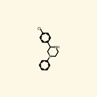 Clc1ccc(C2CN(c3ccccc3)CCN2)cc1